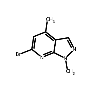 Cc1cc(Br)nc2c1cnn2C